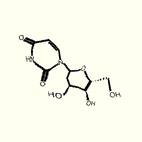 O=c1ccn([C]2O[C@H](CO)[C@@H](O)[C@H]2O)c(=O)[nH]1